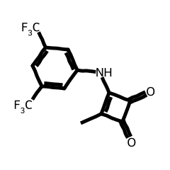 Cc1c(Nc2cc(C(F)(F)F)cc(C(F)(F)F)c2)c(=O)c1=O